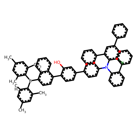 Cc1cc(C)c(B(c2c(C)cc(C)cc2C)c2ccc(-c3ccc(-c4ccc(N(c5ccccc5-c5ccccc5)c5c(F)cc(-c6ccccc6)cc5-c5ccccc5)cc4)cc3O)c3ccccc23)c(C)c1